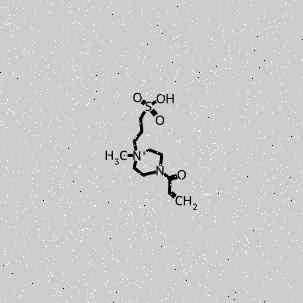 C=CC(=O)N1CC[N+](C)(CCCS(=O)(=O)O)CC1